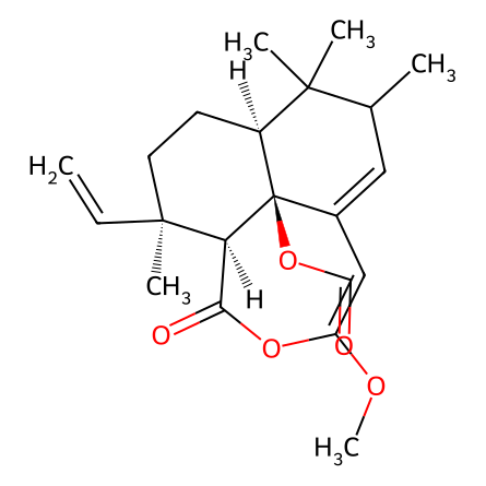 C=C[C@@]1(C)CC[C@H]2C(C)(C)C(C)C=C3C=C(OC)OC(=O)[C@@H]1[C@@]32OC=O